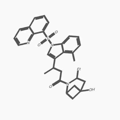 CCC1CC2(O)CC(C2)N1C(=O)CC(C)c1cn(S(=O)(=O)c2cccc3cccnc23)c2cccc(C)c12